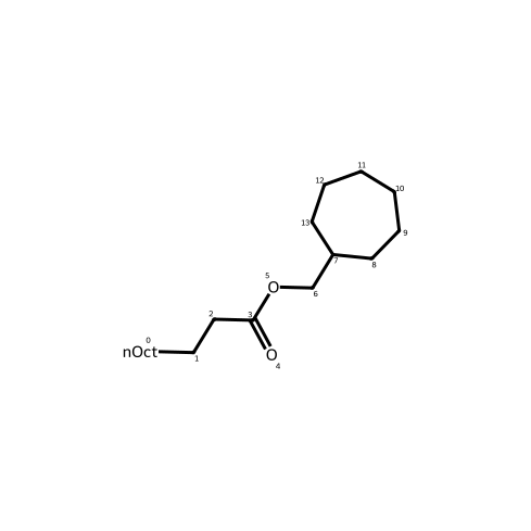 [CH2]CCCCCCCCCC(=O)OCC1CCCCCC1